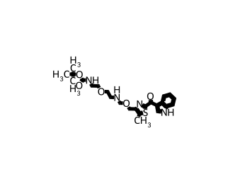 Cc1sc(C(=O)c2c[nH]c3ccccc23)nc1COCNCCOCCNC(=O)OC(C)(C)C